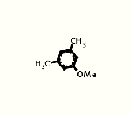 COc1[c]c(C)cc(C)c1